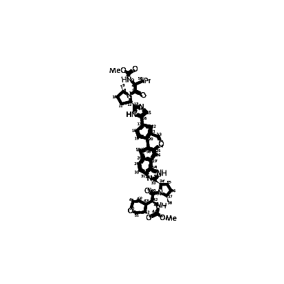 COC(=O)NC(C(=O)N1[C@@H](C)CC[C@H]1c1ncc(-c2ccc3c(c2)COc2cc4c(ccc5nc([C@@H]6CC[C@H](C)N6C(=O)[C@@H](NC(=O)OC)C6CCOCC6)[nH]c54)cc2-3)[nH]1)C(C)C